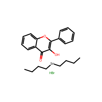 Br.CCC[CH2][Sn][CH2]CCC.O=c1c(O)c(-c2ccccc2)oc2ccccc12